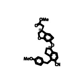 COC(=O)C[C@@H]1COc2cc(O[C@@H]3CCc4c3ccc(C#N)c4Cc3ccc(OC)cc3)ccc21